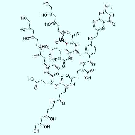 Nc1nc2ncc(CNc3ccc(C(=O)N[C@@H](CCC(=O)N[C@@H](CCC(=O)NCC[C@@H](O)C[C@H](O)CO)C(=O)N[C@H](CCC(=O)O)C(=O)N[C@@H](CCC(=O)NCC[C@@H](O)C[C@H](O)CO)C(=O)N[C@H](CCC(=O)O)C(=O)N[C@@H](CCC(=O)NCC[C@@H](O)C[C@H](O)CO)C(=O)N[C@H](CS)C(=O)O)C(=O)O)cc3)nc2c(=O)[nH]1